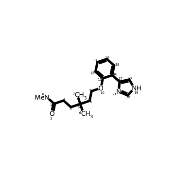 CNC(=O)CCC(C)(C)CCOc1ccccc1-c1c[nH]cn1